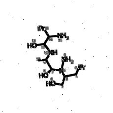 CC(C)CC(CO)N(N)[C@@H](O)C(C)NC(O)C(N)C(C)C